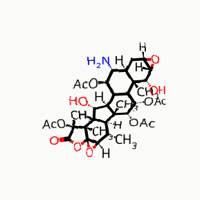 CC(=O)O[C@@H]1C2C([C@H](OC(C)=O)[C@H](OC(C)=O)[C@]3(C)[C@H]4[C@H](C)[C@H]5O[C@]56OC(=O)[C@@](C)(OC(C)=O)[C@]6(C)[C@@H]4[C@H](O)[C@@H]23)[C@]2(C)[C@H](C[C@@H]3O[C@@H]3[C@@H]2O)[C@H]1N